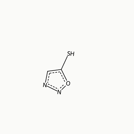 Sc1cnno1